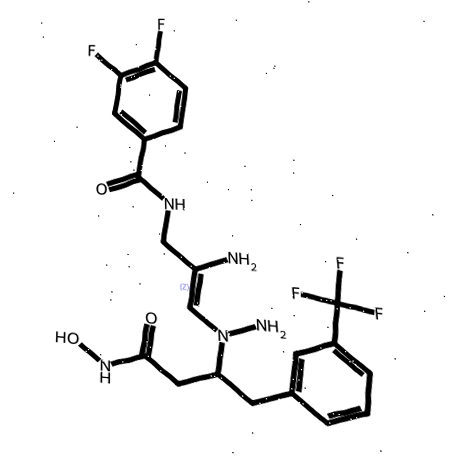 N/C(=C\N(N)C(CC(=O)NO)Cc1cccc(C(F)(F)F)c1)CNC(=O)c1ccc(F)c(F)c1